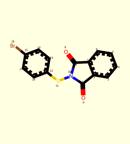 O=C1c2ccccc2C(=O)N1Sc1ccc(Br)cc1